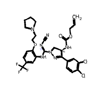 C=CCOC(=O)N[C@@H]1CN(/C(=N\C#N)Nc2cc(C(F)(F)F)ccc2OCCN2CCCC2)N=C1c1ccc(Cl)c(Cl)c1